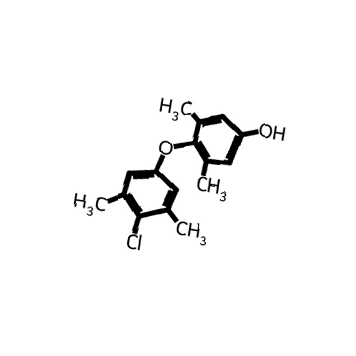 Cc1cc(Oc2c(C)cc(O)cc2C)cc(C)c1Cl